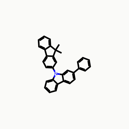 CC1(C)c2ccccc2-c2ccc(-n3c4ccccc4c4ccc(-c5ccccc5)cc43)cc21